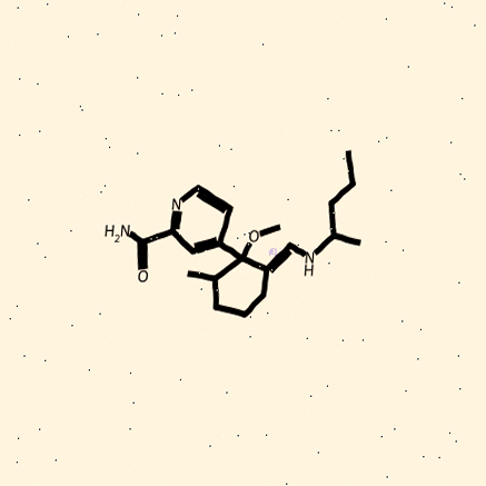 CCCC(C)N/C=C1\CCCC(C)C1(OC)c1ccnc(C(N)=O)c1